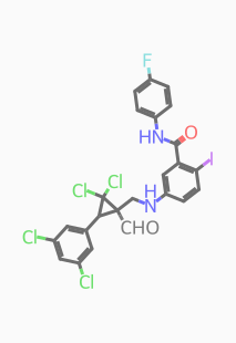 O=CC1(CNc2ccc(I)c(C(=O)Nc3ccc(F)cc3)c2)C(c2cc(Cl)cc(Cl)c2)C1(Cl)Cl